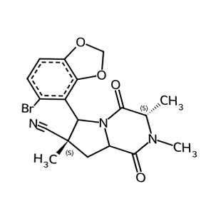 C[C@H]1C(=O)N2C(C[C@](C)(C#N)C2c2c(Br)ccc3c2OCO3)C(=O)N1C